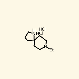 CCN1CCC2(CCCN2)CC1.Cl.Cl